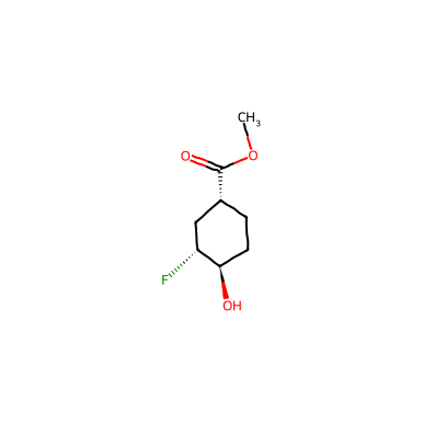 COC(=O)[C@@H]1CC[C@@H](O)[C@H](F)C1